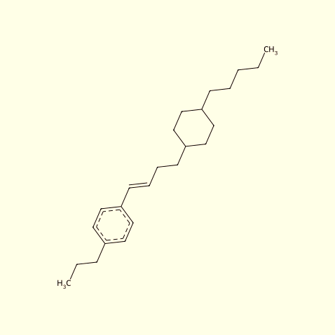 CCCCCC1CCC(CCC=Cc2ccc(CCC)cc2)CC1